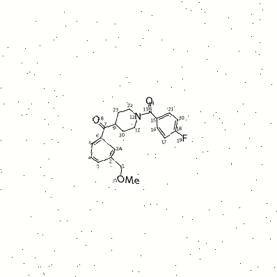 COCc1cccc(C(=O)C2CCN(C(=O)c3ccc(F)cc3)CC2)c1